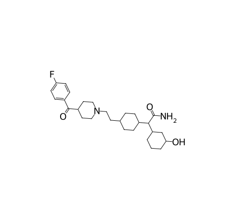 NC(=O)C(C1CCC(CCN2CCC(C(=O)c3ccc(F)cc3)CC2)CC1)C1CCCC(O)C1